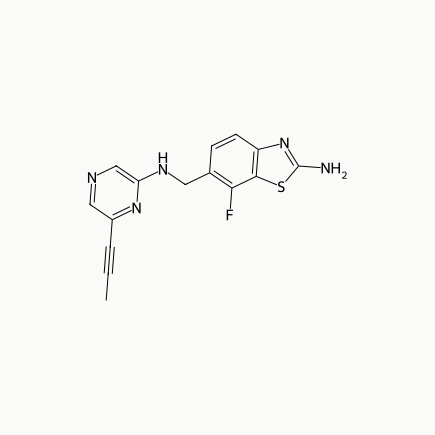 CC#Cc1cncc(NCc2ccc3nc(N)sc3c2F)n1